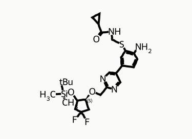 CC(C)(C)[Si](C)(C)OC1CC(F)(F)C[C@@H]1OCc1ncc(-c2ccc(N)c(SCNC(=O)C3CC3)c2)cn1